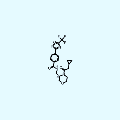 O=C(NC[C@@H]1COCCN1C(=O)CC1CC1)c1ccc(-c2noc(C(F)(F)F)n2)cc1